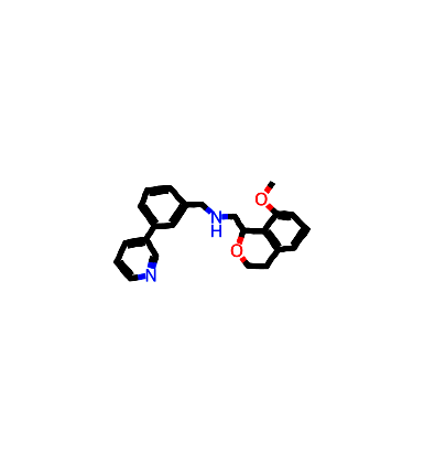 COc1cccc2c1C(CNCc1cccc(-c3cccnc3)c1)OCC2